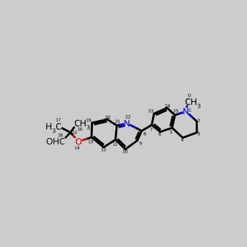 CN1CCCc2cc(-c3ccc4cc(OC(C)(C)C=O)ccc4n3)ccc21